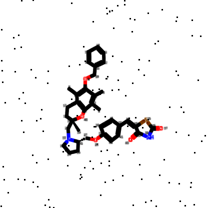 Cc1c(C)c2c(c(C)c1OCc1ccccc1)CC[C@@](C)(CN1CCC[C@H]1COc1ccc(C=C3SC(=O)NC3=O)cc1)O2